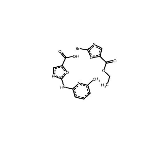 CCOC(=O)c1cnc(Br)o1.Cc1cccc(Nc2ncc(C(=O)O)o2)n1